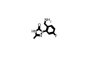 Cc1nn(-c2cc(F)ccc2CN)c(=O)[nH]1